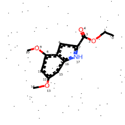 CCOC(=O)c1cc2c(OC)cc(OC)cc2[nH]1